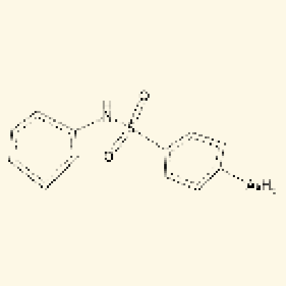 O=S(=O)(Nc1ccccc1)c1ccc([AsH2])cc1